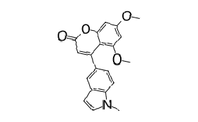 COc1cc(OC)c2c(-c3ccc4c(ccn4C)c3)cc(=O)oc2c1